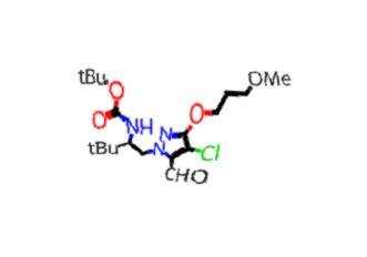 COCCCOc1nn(C[C@H](NC(=O)OC(C)(C)C)C(C)(C)C)c(C=O)c1Cl